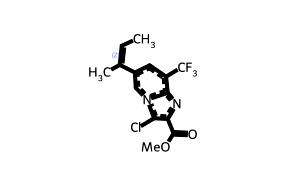 C/C=C(/C)c1cc(C(F)(F)F)c2nc(C(=O)OC)c(Cl)n2c1